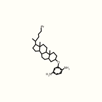 CC(C)CCCC(C)C1CCC2C3CCC4CC(Oc5cc(N)ccc5N)CCC4(C)C3CCC12C